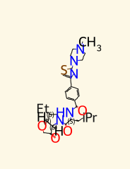 CC[C@H]1CN(C(=O)[C@H](CC(C)C)NC(=O)c2ccc(-c3csc(N4CCN(C)CC4)n3)cc2)[C@@H]2C(=O)CO[C@H]12